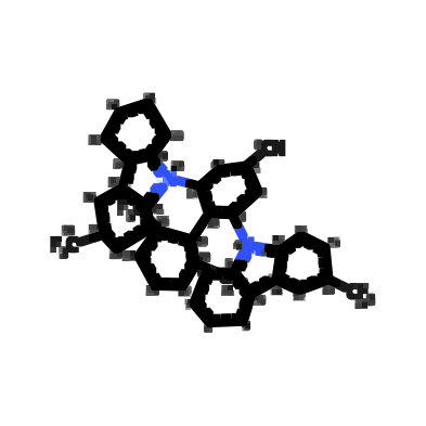 N#Cc1cc(-n2c3ccccc3c3cc(C(F)(F)F)ccc32)c(-c2c(C(F)(F)F)cccc2C(F)(F)F)c(-n2c3ccccc3c3cc(C(F)(F)F)ccc32)c1